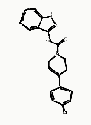 O=C(Nc1n[nH]c2ccccc12)N1CC=C(c2ccc(Cl)cc2)CC1